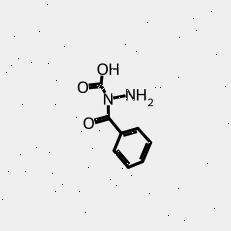 NN(C(=O)O)C(=O)c1ccccc1